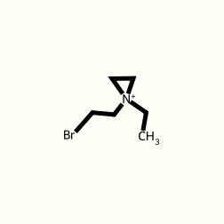 CC[N+]1(CCBr)CC1